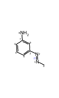 C/N=N/c1cccc(N)c1